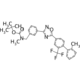 Cc1ccccc1-c1ccc(-c2nc(-c3cccc(CN(C)C(=O)OC(C)(C)C)c3)no2)cc1C(F)(F)F